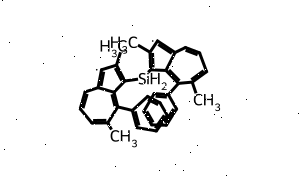 Cc1[c]c2cccc(C)c(-c3ccccc3)c-2c1[SiH2]c1c(C)[c]c2cccc(C)c(-c3ccccc3)c1-2